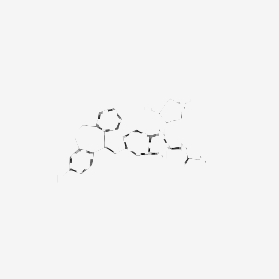 CN1C[C@H](O)[C@@H](n2/c(=N/C(N)=O)[nH]c3cc(/C=C4\c5ccccc5COc5cc(F)ccc54)ccc32)C1